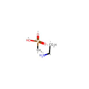 CS(=O)(=O)O.NCC(=O)O